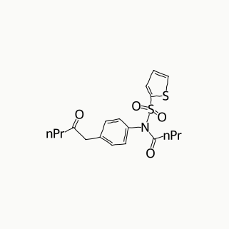 CCCC(=O)Cc1ccc(N(C(=O)CCC)S(=O)(=O)c2cccs2)cc1